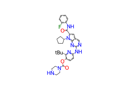 CC(C)(C)c1nc(Nc2ncc3cc(C(=O)Nc4ccccc4F)n(C4CCCC4)c3n2)ccc1OC(=O)N1CCNCC1